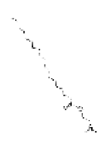 CCCCCCCCCCCCCCCCCCC(=O)OCCN(C)C